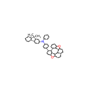 CC1(C)c2ccccc2-c2ccc(N(c3ccccc3)c3ccc(-c4ccc5oc6ccc7ccc8oc9cccc%10c9c8c7c6c5c4-%10)cc3)cc21